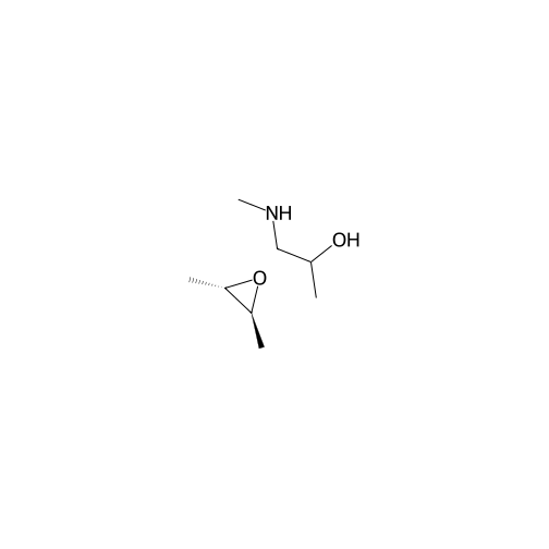 CNCC(C)O.C[C@@H]1O[C@H]1C